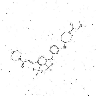 CN(C)CC(=O)N1CCCC(Nc2cccc(Sc3ccc(C=CC(=O)N4CCOCC4)c(C(F)(F)F)c3C(F)(F)F)c2)CC1